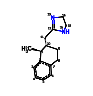 C[C@@H]1c2ccccc2CC[C@H]1CC1=NCCN1